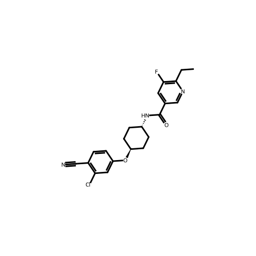 CCc1ncc(C(=O)N[C@H]2CC[C@H](Oc3ccc(C#N)c(Cl)c3)CC2)cc1F